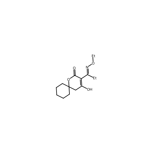 CCON=C(CC)C1=C(O)CC2(CCCCC2)OC1=O